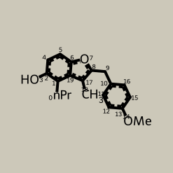 CCCc1c(O)ccc2oc(Cc3ccc(OC)cc3)c(C)c12